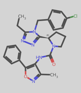 CCc1nnc([C@H]2CCCN2C(=O)Nc2c(C)noc2-c2ccccc2)n1Cc1ccc(Cl)cc1